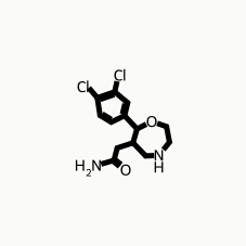 NC(=O)CC1CNCCOC1c1ccc(Cl)c(Cl)c1